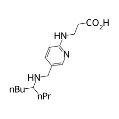 CCCCC(CCC)NCc1ccc(NCCC(=O)O)nc1